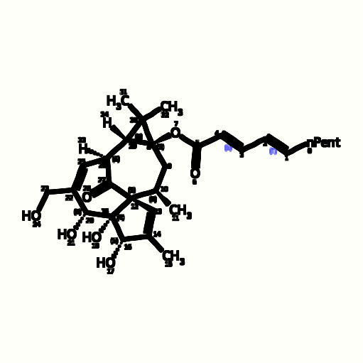 CCCCC/C=C/C=C/C(=O)O[C@@]12C[C@@H](C)[C@]34C=C(C)[C@H](O)[C@@]3(O)[C@H](O)C(CO)=C[C@H](C4=O)[C@@H]1C2(C)C